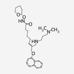 CN(C)CCCNCC(=CCCCCC(=O)NOC1CCCCO1)COc1cccc2ccccc12